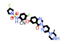 C[C@H]1CNCCN1c1ccc(-n2cnc3ccc(Oc4c(F)ccc(NS(=O)(=O)N5CC[C@@H](F)C5)c4C#N)cc3c2=O)nc1